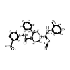 CC(=O)c1cccc(NC(=O)N2CCN(/C(=N\C#N)Nc3ccccc3C)CC2c2ccccc2)c1